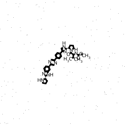 COC(=O)N[C@H](C(=O)N1CCC[C@H]1c1nc(-c2ccc(-c3cnc(-c4ccc5nc([C@@H]6CCCN6)[nH]c5c4)cn3)cc2)c[nH]1)C(C)C